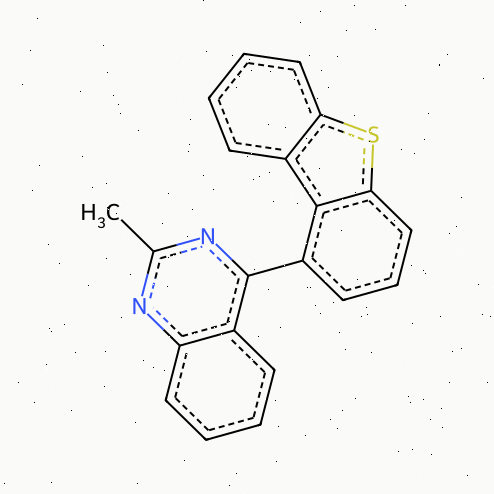 Cc1nc(-c2cccc3sc4ccccc4c23)c2ccccc2n1